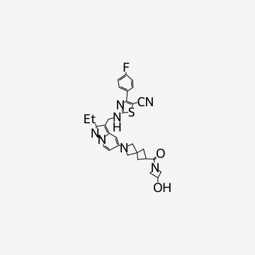 CCc1nn2ccc(N3CC4(CC(C(=O)N5CC(O)C5)C4)C3)cc2c1CNc1nc(-c2ccc(F)cc2)c(C#N)s1